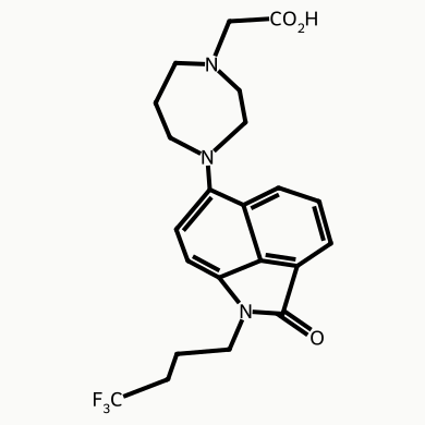 O=C(O)CN1CCCN(c2ccc3c4c(cccc24)C(=O)N3CCCC(F)(F)F)CC1